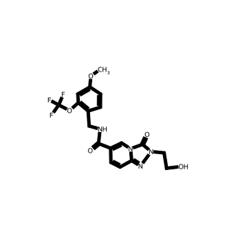 COc1ccc(CNC(=O)c2ccc3nn(CCO)c(=O)n3c2)c(OC(F)(F)F)c1